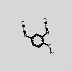 CCOc1ccc(N=C=O)cc1N=C=O